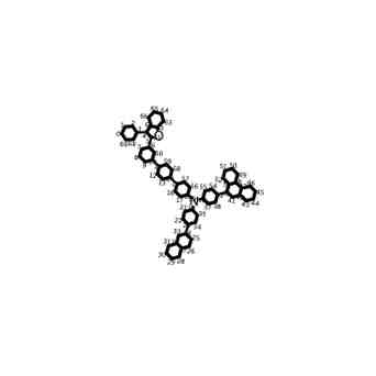 c1ccc(-c2c(-c3cccc(-c4ccc(-c5ccc(N(c6ccc(-c7ccc8ccccc8c7)cc6)c6ccc(-c7cc8ccccc8c8ccccc78)cc6)cc5)cc4)c3)oc3ccccc23)cc1